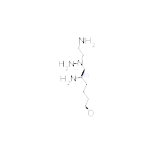 NCCN(N)/C=C(\N)CCCC=O